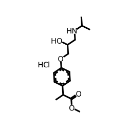 COC(=O)C(C)c1ccc(OCC(O)CNC(C)C)cc1.Cl